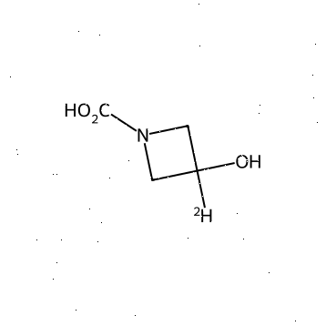 [2H]C1(O)CN(C(=O)O)C1